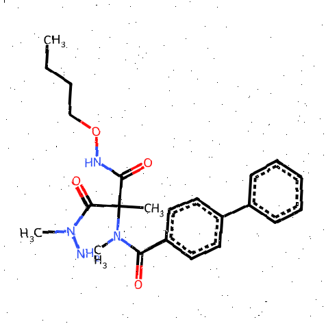 CCCCONC(=O)C(C)(C(=O)N(C)N)N(C)C(=O)c1ccc(-c2ccccc2)cc1